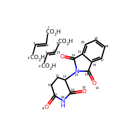 O=C(O)/C=C/C(=O)O.O=C(O)/C=C/C(=O)O.O=C1CCC(N2C(=O)c3ccccc3C2=O)C(=O)N1